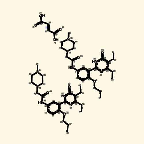 CCCOc1ccc(NC(=O)CN2CCN(C)CC2)cc1-c1nc(CC)c(CC)c(=O)[nH]1.CCCOc1ccc(NC(=O)CN2CCN(C)CC2)cc1-c1nc(CC)c(CC)c(=O)[nH]1.O=C(O)/C=C/C(=O)O